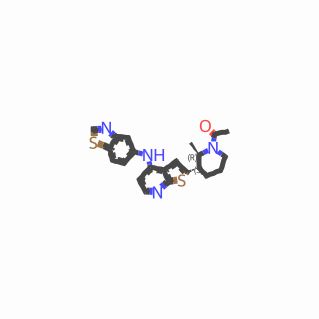 CC(=O)N1CCC[C@H](c2cc3c(Nc4ccc5scnc5c4)ccnc3s2)[C@H]1C